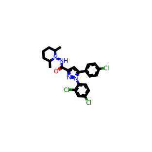 CC1CCCC(C)N1NC(=O)c1cc(-c2ccc(Cl)cc2)n(-c2ccc(Cl)cc2Cl)n1